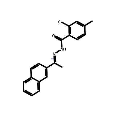 C/C(=N\NC(=O)c1ccc(C)cc1Cl)c1ccc2ccccc2c1